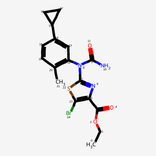 CCOC(=O)c1nc(N(C(N)=O)c2cc(C3CC3)ccc2C)sc1Br